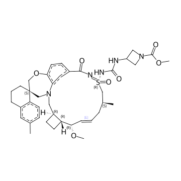 COC(=O)N1CC(NC(=O)N[S@@]2(=O)=NC(=O)c3ccc4c(c3)N(C[C@@H]3CC[C@H]3[C@@H](OC)/C=C/C[C@H](C)C2)C[C@@]2(CCCc3cc(C)ccc32)CO4)C1